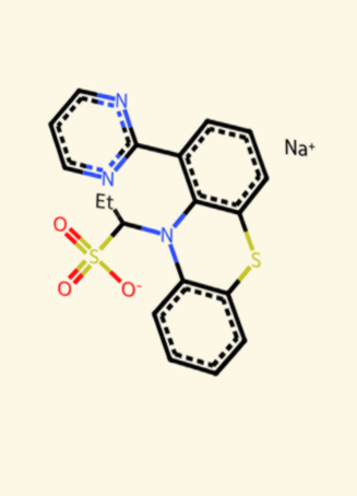 CCC(N1c2ccccc2Sc2cccc(-c3ncccn3)c21)S(=O)(=O)[O-].[Na+]